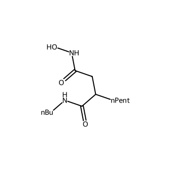 CCCCCC(CC(=O)NO)C(=O)NCCCC